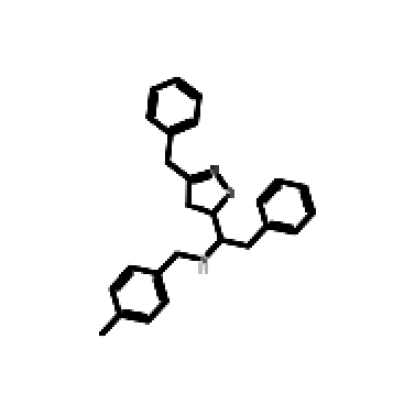 Cc1ccc(CNC(Cc2ccccc2)C2CC(Cc3ccccc3)=NO2)cc1